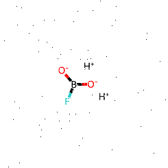 [H+].[H+].[O-]B([O-])F